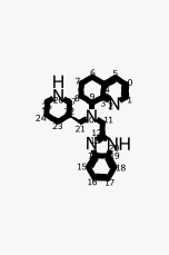 c1cnc2c(c1)CCCC2N(Cc1nc2ccccc2[nH]1)C[C@H]1CCCNC1